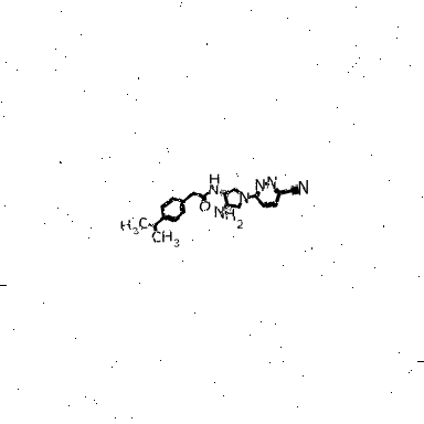 CC(C)c1ccc(CC(=O)N[C@@H]2CN(c3ccc(C#N)nn3)C[C@H]2N)cc1